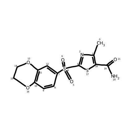 Cc1nc(S(=O)(=O)c2ccc3c(c2)OCCO3)sc1C(N)=O